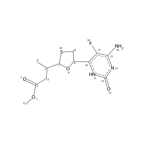 COC(=O)CC(C)C1OC(c2[nH]c(=O)nc(N)c2F)CS1